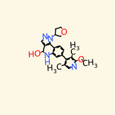 COc1ncc(C)c(-c2ccc3c(c2)NC(O)c2cnn([C@H]4CCOC4)c2-3)c1C